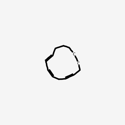 C1=C\C/C=C\CCCCCC/C=C/1